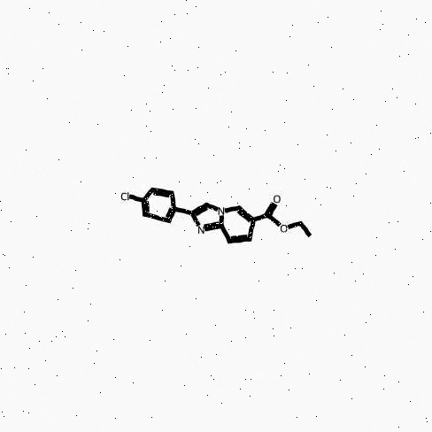 CCOC(=O)c1ccc2nc(-c3ccc(Cl)cc3)cn2c1